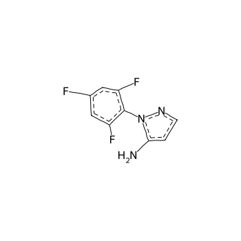 Nc1ccnn1-c1c(F)cc(F)cc1F